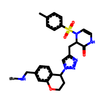 Cc1ccc(S(=O)(=O)N2C=CNC(=O)C2Cc2cn(C3CCOc4cc(CNC(C)(C)C)ccc43)nn2)cc1